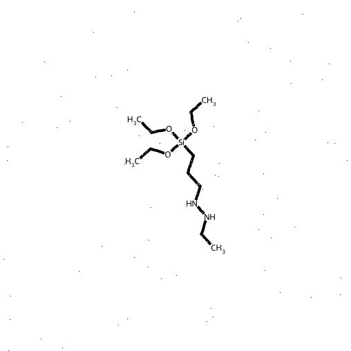 CCNNCCC[Si](OCC)(OCC)OCC